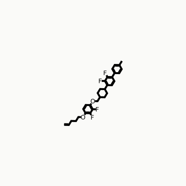 C=CCCCOc1ccc(OCC2CCC(c3ccc(-c4ccc(C)cc4)c(F)c3F)CC2)c(F)c1F